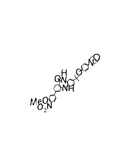 COc1cc(C2=CC3=C(CC2)C(=O)Nc2cc(C(C)(C)COc4ccc(N5CCOCC5)cc4)ccc2N3)ccc1[N+](=O)[O-]